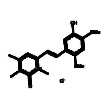 COc1cc(OC)c(C=Cc2cc(C)n(C)c(=O)[n+]2C)cc1O.[Cl-]